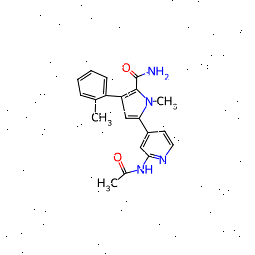 CC(=O)Nc1cc(-c2cc(-c3ccccc3C)c(C(N)=O)n2C)ccn1